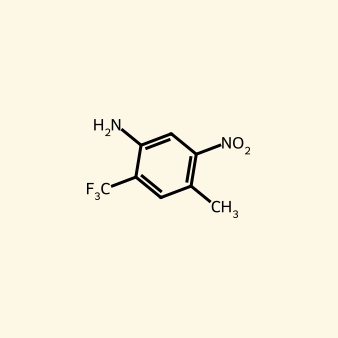 Cc1cc(C(F)(F)F)c(N)cc1[N+](=O)[O-]